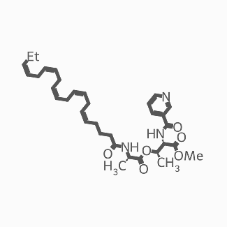 CC/C=C\C/C=C\C/C=C\C/C=C\C/C=C\CCCC(=O)N[C@@H](C)C(=O)O[C@H](C)[C@H](NC(=O)c1cccnc1)C(=O)OC